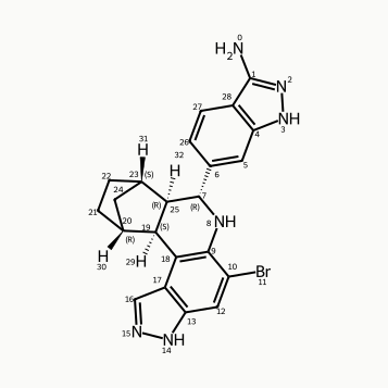 Nc1n[nH]c2cc([C@@H]3Nc4c(Br)cc5[nH]ncc5c4[C@H]4[C@@H]5CC[C@@H](C5)[C@H]43)ccc12